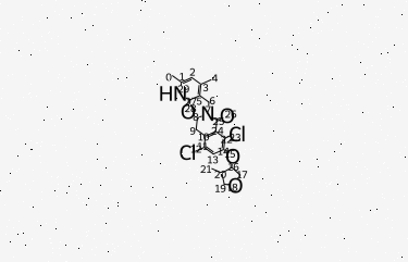 Cc1cc(C)c(CN2CCc3c(Cl)cc(OC4COCC4C)c(Cl)c3C2=O)c(=O)[nH]1